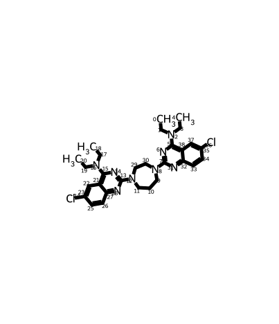 CCN(CC)c1nc(N2CCCN(c3nc(N(CC)CC)c4cc(Cl)ccc4n3)CC2)nc2ccc(Cl)cc12